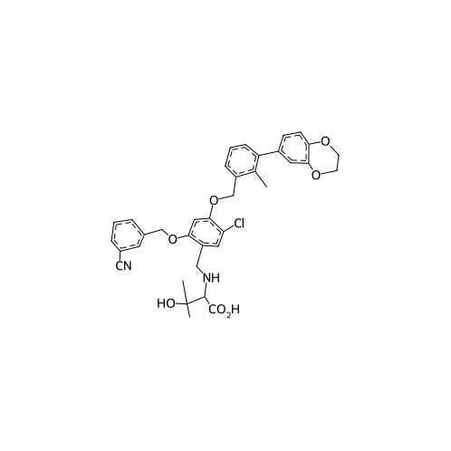 Cc1c(COc2cc(OCc3cccc(C#N)c3)c(CNC(C(=O)O)C(C)(C)O)cc2Cl)cccc1-c1ccc2c(c1)OCCO2